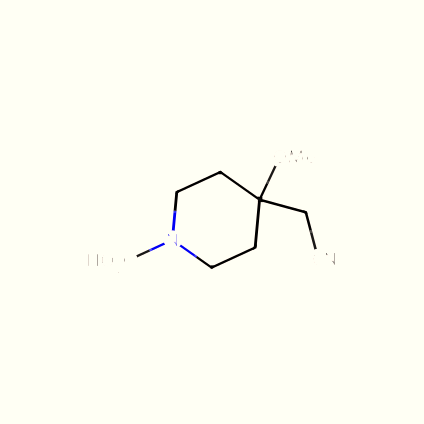 COC1(CC#N)CCN(C(=O)O)CC1